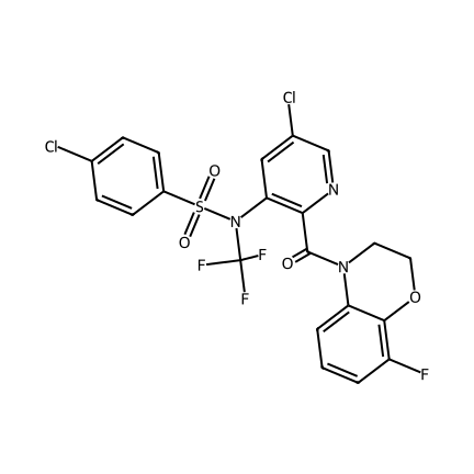 O=C(c1ncc(Cl)cc1N(C(F)(F)F)S(=O)(=O)c1ccc(Cl)cc1)N1CCOc2c(F)cccc21